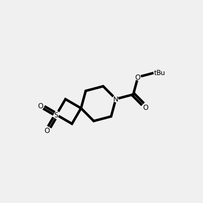 CC(C)(C)OC(=O)N1CCC2(CC1)CS(=O)(=O)C2